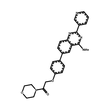 CNc1nc(-c2cccnc2)nc2ccc(-c3ccc(OCC(=O)N4CCOCC4)cc3)cc12